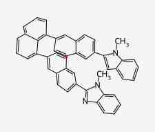 Cn1c(-c2ccc3cc(-c4cccc5cccc(-c6ccc7cc(-c8nc9ccccc9n8C)ccc7c6)c45)ccc3c2)cc2ccccc21